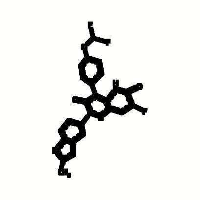 Cn1cc2cc(-n3nc4cc(F)c(=O)[nH]c4c(-c4ccc(OC(F)F)cc4)c3=O)ccc2n1